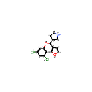 Clc1cc(Cl)cc(OC(c2ccoc2)[C@H]2CCNC2)c1